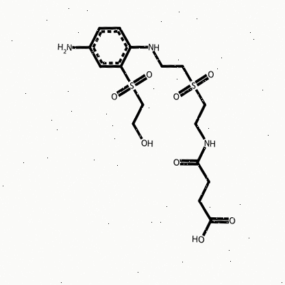 Nc1ccc(NCCS(=O)(=O)CCNC(=O)CCC(=O)O)c(S(=O)(=O)CCO)c1